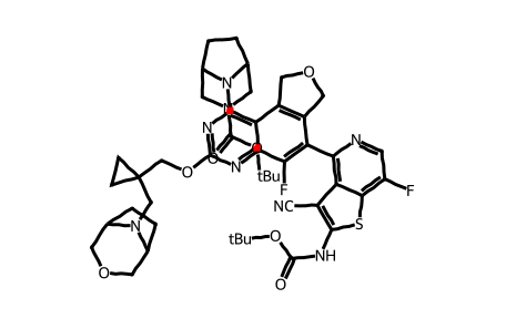 CC(C)(C)OC(=O)Nc1sc2c(F)cnc(-c3c4c(c5c(N6C7CCC6CN(C(=O)OC(C)(C)C)C7)nc(OCC6(CN7C8CCC7COC8)CC6)nc5c3F)COC4)c2c1C#N